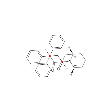 CC(CC(=O)N1[C@@H]2CCC[C@H]1CN(C(=O)N(c1ccccc1)c1ccccc1)C2)c1ccccc1